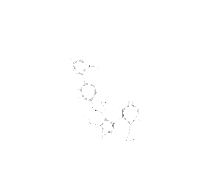 COc1ncnc(C2CC2)c1-c1nn(C)c2c1CN(c1ccc(-c3nc(C(F)(F)F)cn3C)cc1F)CC2